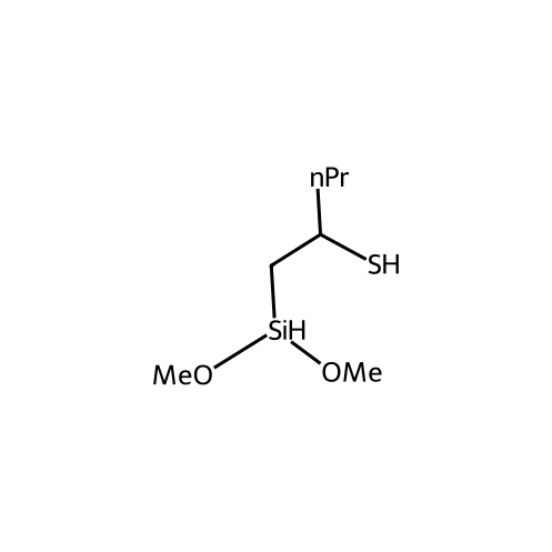 CCCC(S)C[SiH](OC)OC